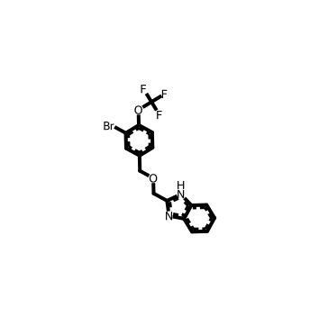 FC(F)(F)Oc1ccc(COCc2nc3ccccc3[nH]2)cc1Br